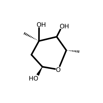 C[C@@H]1O[C@@H](O)C[C@@](C)(O)C1O